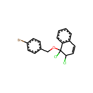 ClC1C=Cc2ccccc2C1(Cl)OCc1ccc(Br)cc1